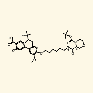 COc1cc2c(cc1OCCCCCCNC(=O)[C@@H]1COCCN1C(=O)OC(C)(C)C)CC(C(C)(C)C)n1cc(C(=O)O)c(=O)cc1-2